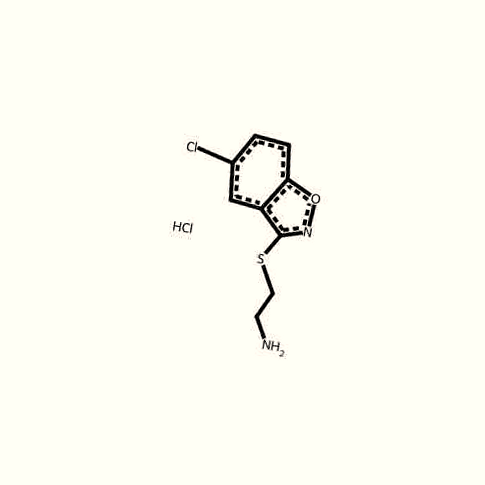 Cl.NCCSc1noc2ccc(Cl)cc12